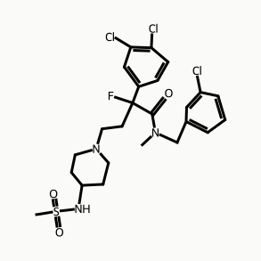 CN(Cc1cccc(Cl)c1)C(=O)C(F)(CCN1CCC(NS(C)(=O)=O)CC1)c1ccc(Cl)c(Cl)c1